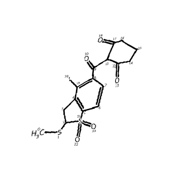 CSC1Cc2c(ccc(C(=O)C3C(=O)CCCC3=O)c2I)S1(=O)=O